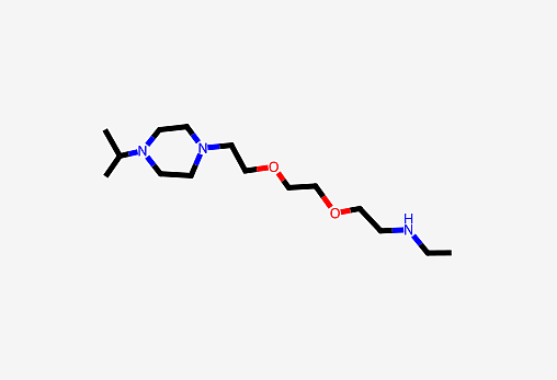 CCNCCOCCOCCN1CCN(C(C)C)CC1